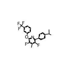 Cc1c(F)c(Oc2cccc(C(F)(F)F)c2)nc(-c2ccc(C(C)C)cc2)c1F